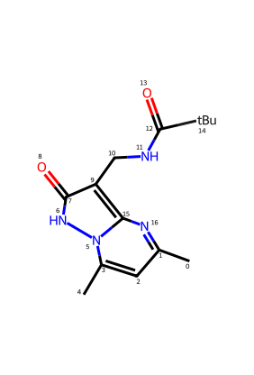 Cc1cc(C)n2[nH]c(=O)c(CNC(=O)C(C)(C)C)c2n1